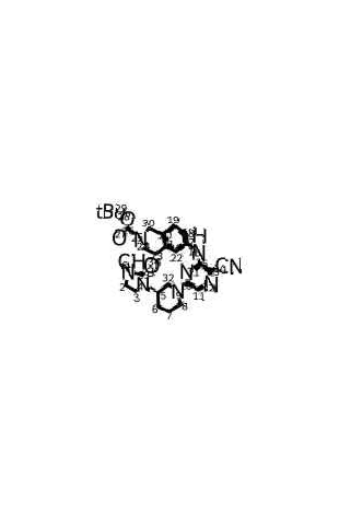 CN1CCN([C@@H]2CCCN(c3cnc(C#N)c(Nc4ccc5c(c4)CCN(C(=O)OC(C)(C)C)C5)n3)C2)C1=O